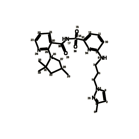 Cc1ccn(CCCNc2cccc(S(=O)(=O)NC(=O)c3cccnc3N3CC(C)CC3(C)C)n2)n1